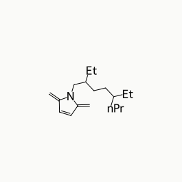 C=c1ccc(=C)n1CC(CC)CCC(CC)CCC